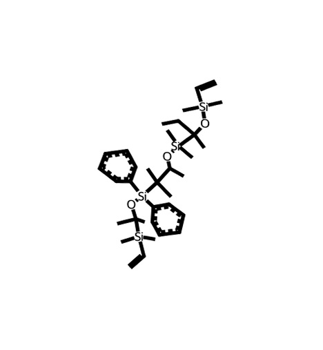 C=C[Si](C)(C)OC(C)(CC)[Si](C)(C)OC(C)C(C)(C)[Si](OC(C)(C)[Si](C)(C)C=C)(c1ccccc1)c1ccccc1